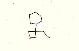 N#CCC1(N2CCCCC2)COC1